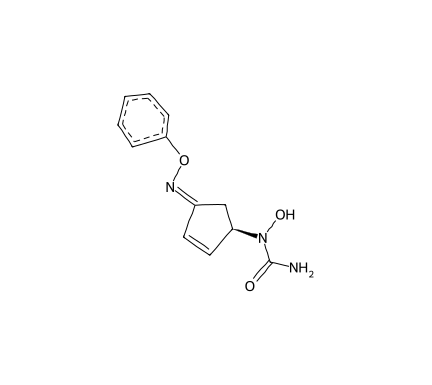 NC(=O)N(O)[C@H]1C=C/C(=N/Oc2ccccc2)C1